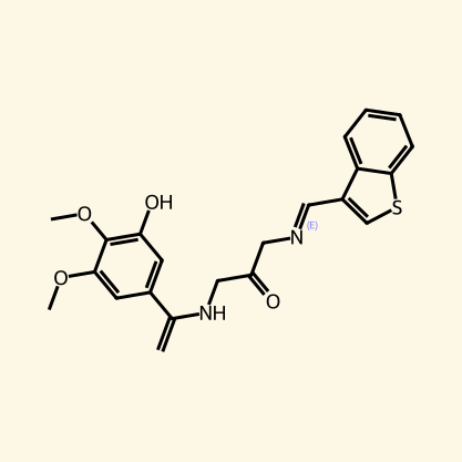 C=C(NCC(=O)C/N=C/c1csc2ccccc12)c1cc(O)c(OC)c(OC)c1